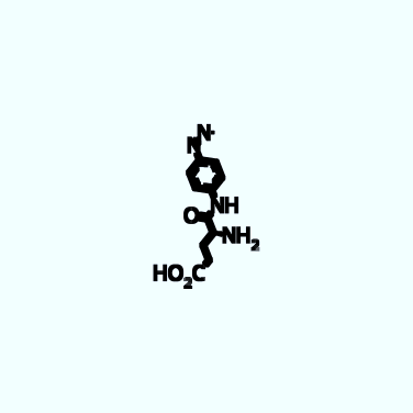 [N]=Nc1ccc(NC(=O)[C@@H](N)CCC(=O)O)cc1